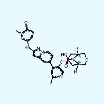 Cc1cc(-c2ccn3nc(Nc4ccc(=O)n(C)n4)cc3c2)c(O[C@H]2C[C@H]3COC[C@@H](C2)N3C(=O)O)cn1